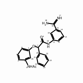 CC(=O)Nc1cccc(OC(C(=O)Nc2cccc(C(=N)N)c2)c2ccccc2)c1